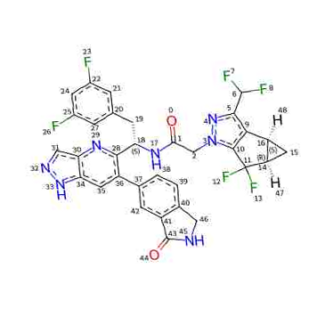 O=C(Cn1nc(C(F)F)c2c1C(F)(F)[C@@H]1C[C@H]21)N[C@@H](Cc1cc(F)cc(F)c1)c1nc2cn[nH]c2cc1-c1ccc2c(c1)C(=O)NC2